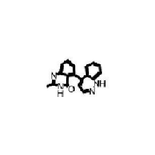 Cc1nc2cccc(C3=CC=NNc4ccccc43)c2c(=O)[nH]1